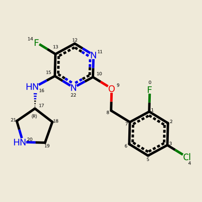 Fc1cc(Cl)ccc1COc1ncc(F)c(N[C@@H]2CCNC2)n1